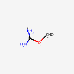 NC(N)OC=O